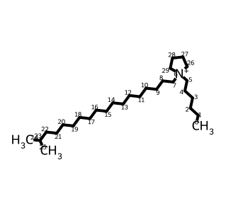 CCCCCC[N+]1(CCCCCCCCCCCCCCCCC(C)C)CCCC1